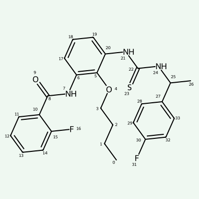 CCCCOc1c(NC(=O)c2ccccc2F)cccc1NC(=S)NC(C)c1ccc(F)cc1